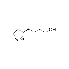 OCCCC[C@@H]1CCSS1